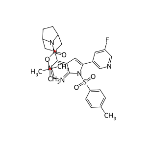 Cc1ccc(S(=O)(=O)n2c(-c3cncc(F)c3)cc3c(N4CC5CCC(C4)N5C(=O)OC(C)(C)C)ncnc32)cc1